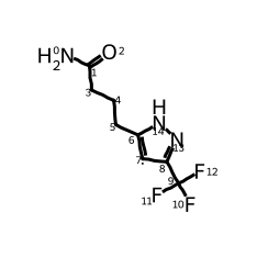 NC(=O)CCCc1[c]c(C(F)(F)F)n[nH]1